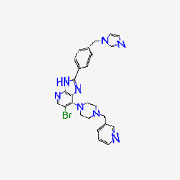 Brc1cnc2[nH]c(-c3ccc(Cn4ccnc4)cc3)nc2c1N1CCN(Cc2cccnc2)CC1